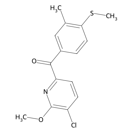 COc1nc(C(=O)c2ccc(SC)c(C)c2)ccc1Cl